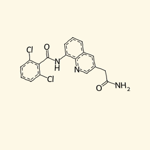 NC(=O)Cc1cnc2c(NC(=O)c3c(Cl)cccc3Cl)cccc2c1